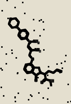 C=CCCC(C(=O)NC)N1Cc2c(OC/C(N)=C/N(N)c3ccc(N4CCOCC4)cc3)cccc2C1=O